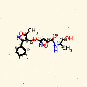 Cc1onc(-c2ccccc2)c1COc1cc(C(=O)NC(C)CO)on1